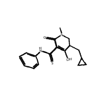 CN1CC(CC2CC2)C(O)=C(C(=S)Nc2ccccc2)C1=O